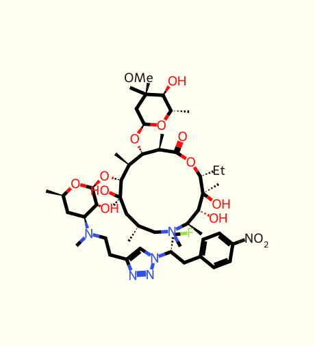 CC[C@H]1OC(=O)[C@H](C)[C@@H](O[C@H]2C[C@@](C)(OC)[C@@H](O)[C@H](C)O2)[C@H](C)[C@@H](O[C@@H]2O[C@H](C)C[C@H](N(C)CCc3cn([C@H](CF)Cc4ccc([N+](=O)[O-])cc4)nn3)[C@H]2O)[C@](C)(O)C[C@@H](C)CN(C)[C@H](C)[C@@H](O)[C@]1(C)O